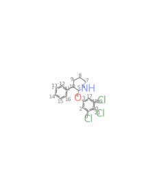 Clc1cc(OC2NCCCC2c2c[c]ccc2)cc(Cl)c1Cl